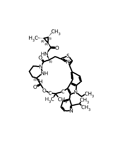 CCn1c(-c2cccnc2C(C)C)c2c3cc(ccc31)-c1csc(n1)C[C@H](NC(=O)[C@H]1[C@H](C)[C@@H]1C)C(=O)N1CCC[C@H](N1)C(=O)OCC(C)(C)C2